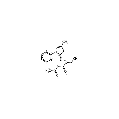 CC1=NN(c2ccccn2)C(=O)C1.CCOC(=O)CC(C)=O